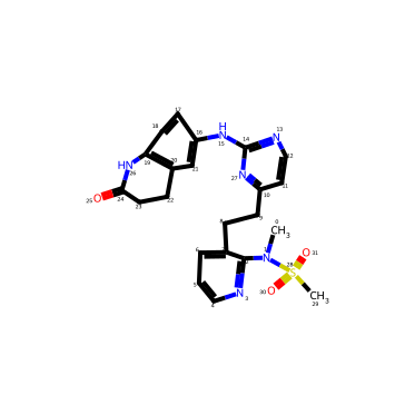 CN(c1ncccc1CCc1ccnc(Nc2ccc3c(c2)CCC(=O)N3)n1)S(C)(=O)=O